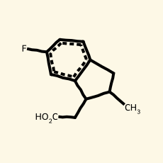 CC1Cc2ccc(F)cc2C1CC(=O)O